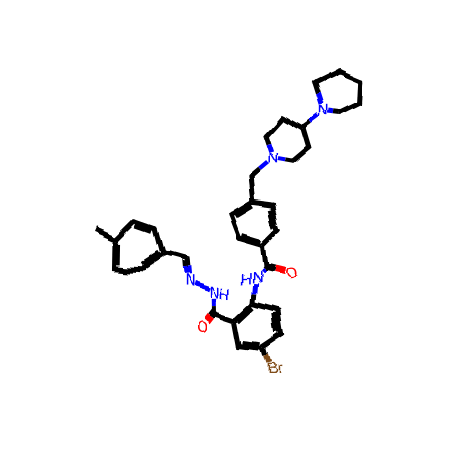 Cc1ccc(C=NNC(=O)c2cc(Br)ccc2NC(=O)c2ccc(CN3CCC(N4CCCCC4)CC3)cc2)cc1